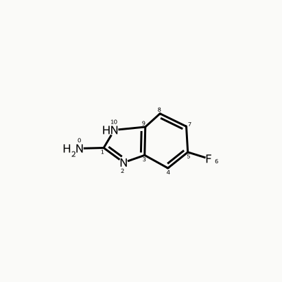 Nc1nc2cc(F)ccc2[nH]1